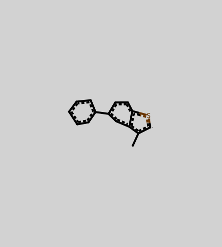 Cc1[c]sc2ccc(-c3ccccc3)cc12